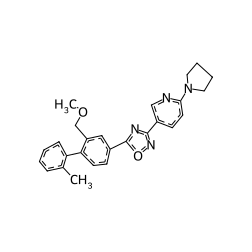 COCc1cc(-c2nc(-c3ccc(N4CCCC4)nc3)no2)ccc1-c1ccccc1C